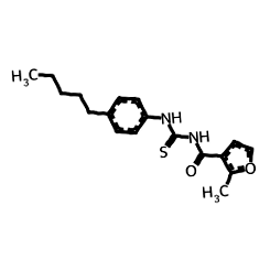 CCCCCc1ccc(NC(=S)NC(=O)c2ccoc2C)cc1